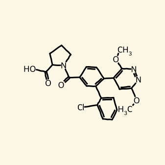 COc1cc(-c2ccc(C(=O)N3CCCC3C(=O)O)cc2-c2ccccc2Cl)c(OC)nn1